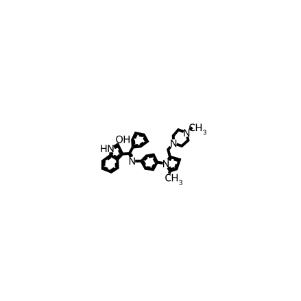 Cc1ccc(CN2CCN(C)CC2)n1-c1ccc(N=C(c2ccccc2)c2c(O)[nH]c3ccccc23)cc1